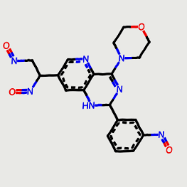 O=NCC(N=O)c1cnc2c(c1)NC(c1cccc(N=O)c1)N=C2N1CCOCC1